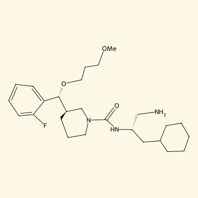 COCCCO[C@@H](c1ccccc1F)[C@@H]1CCCN(C(=O)N[C@H](CN)CC2CCCCC2)C1